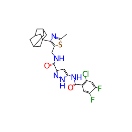 Cc1nc(C23CC4CC(CC(C4)C2)C3)c(CNC(=O)c2cc(NC(=O)c3cc(F)c(F)cc3Cl)[nH]n2)s1